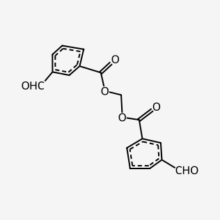 O=Cc1cccc(C(=O)OCOC(=O)c2cccc(C=O)c2)c1